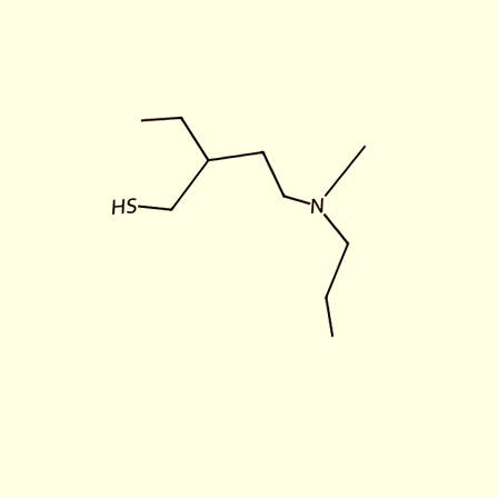 CCCN(C)CCC(CC)CS